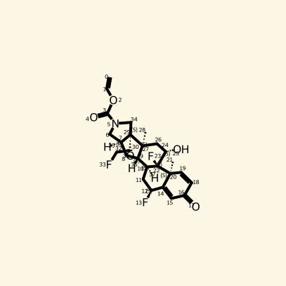 C=COC(=O)N1C[C@@H]2C[C@H]3[C@@H]4C[C@H](F)C5=CC(=O)C=C[C@]5(C)[C@@]4(F)[C@@H](O)C[C@]3(C)[C@]2(C(=O)CF)C1